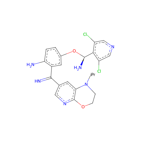 CC(C)N1CCOc2ncc(C(=N)c3cc(O[C@H](N)c4c(Cl)cncc4Cl)ccc3N)cc21